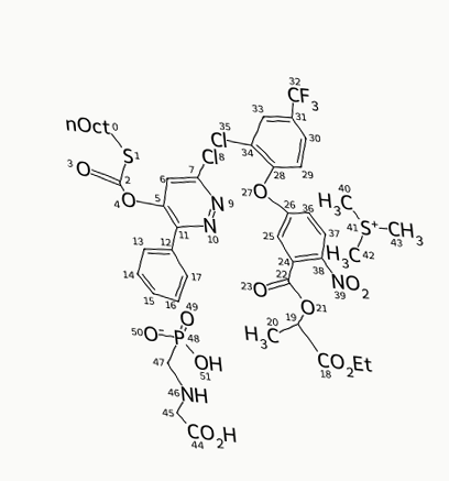 CCCCCCCCSC(=O)Oc1cc(Cl)nnc1-c1ccccc1.CCOC(=O)C(C)OC(=O)c1cc(Oc2ccc(C(F)(F)F)cc2Cl)ccc1[N+](=O)[O-].C[S+](C)C.O=C(O)CNCP(=O)([O-])O